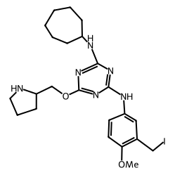 COc1ccc(Nc2nc(NC3CCCCCC3)nc(OCC3CCCN3)n2)cc1CI